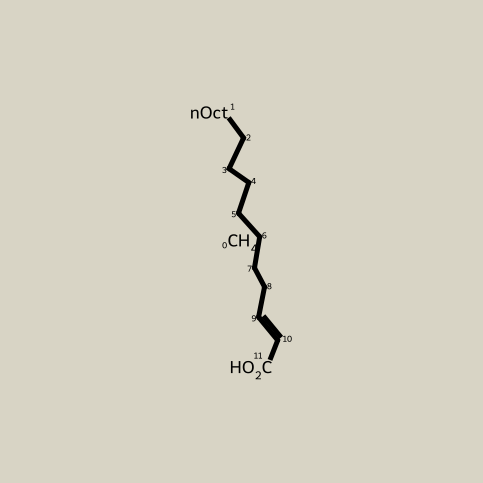 C.CCCCCCCCCCCCCCCC=CC(=O)O